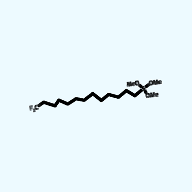 CO[Si](CCCCCCCCCCCCC(F)(F)F)(OC)OC